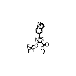 CCOC(=O)c1sc(-c2ccn3nccc3c2)nc1OCC(F)(F)F